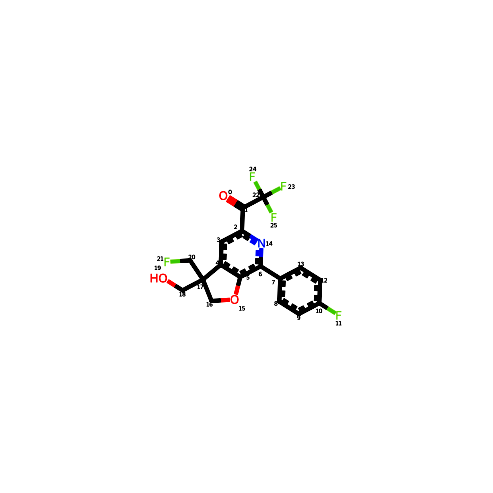 O=C(c1cc2c(c(-c3ccc(F)cc3)n1)OCC2(CO)CF)C(F)(F)F